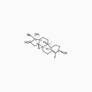 C#C[C@]1(O)[C@H](O)C[C@H]2[C@@H]3CCC4=C(F)[C@H](O)CC[C@]4(C)[C@H]3CC[C@@]21C